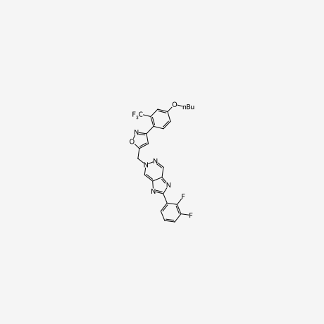 CCCCOc1ccc(-c2cc(Cn3cc4nc(-c5cccc(F)c5F)nc-4cn3)on2)c(C(F)(F)F)c1